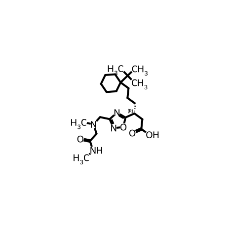 CNC(=O)CN(C)Cc1noc([C@H](CCCC2(C(C)(C)C)CCCCC2)CC(=O)O)n1